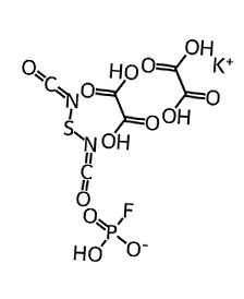 O=C(O)C(=O)O.O=C(O)C(=O)O.O=C=NSN=C=O.O=P([O-])(O)F.[K+]